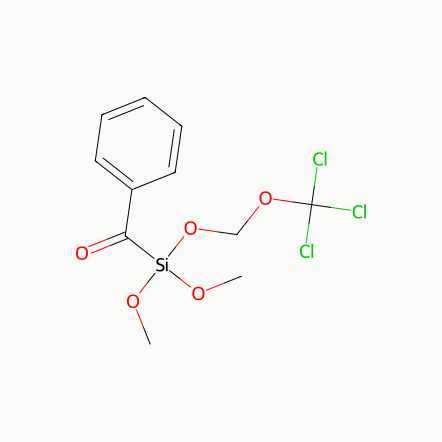 CO[Si](OC)(OCOC(Cl)(Cl)Cl)C(=O)c1ccccc1